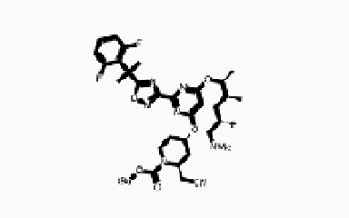 CNC[C@@H](F)C[C@H](C)[C@H](C)Oc1cc(O[C@H]2CCN(C(=O)OC(C)(C)C)[C@H](CC#N)C2)nc(-c2noc(C(C)(C)c3c(F)cccc3F)n2)n1